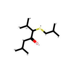 CC(C)CSC(C(=O)CC(C)C)C(C)C